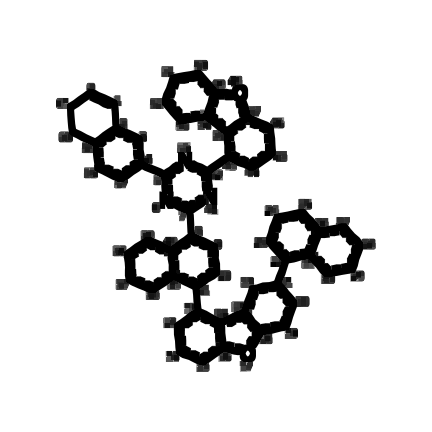 C1=Cc2cc(-c3nc(-c4ccc(-c5cccc6oc7ccc(-c8cccc9ccccc89)cc7c56)c5ccccc45)nc(-c4cccc5oc6ccccc6c45)n3)ccc2CC1